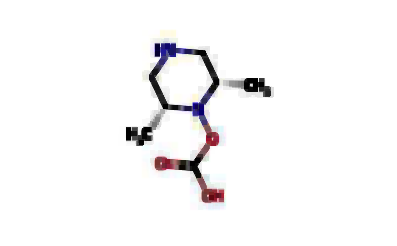 C[C@@H]1CNC[C@H](C)N1OC(=O)O